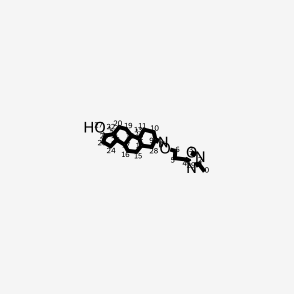 Cc1noc(CCON=C2CC[C@@]3(C)C(CCC4C3CC[C@@]3(C)C4CC[C@@H]3O)C2)n1